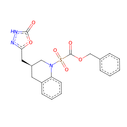 O=C(OCc1ccccc1)S(=O)(=O)N1C[C@H](Cc2n[nH]c(=O)o2)Cc2ccccc21